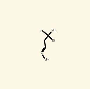 CCC(N)(CC)CC=NC(C)(C)C